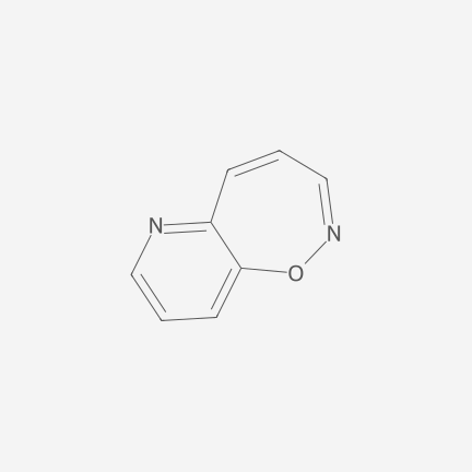 C1=Cc2ncccc2ON=C1